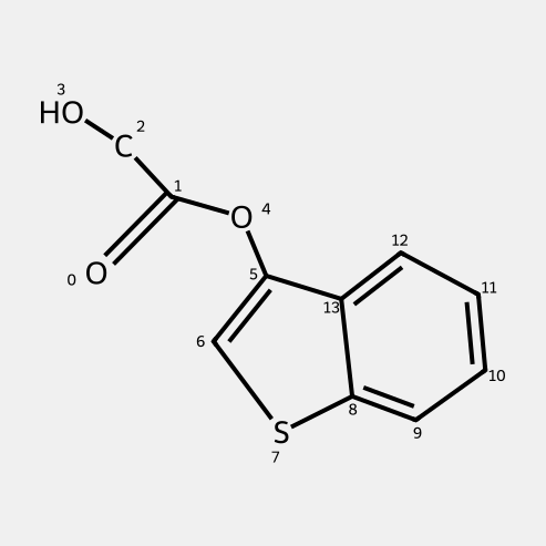 O=C(CO)Oc1csc2ccccc12